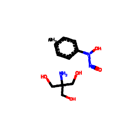 NC(CO)(CO)CO.O=NN(O)c1ccccc1.[AlH3]